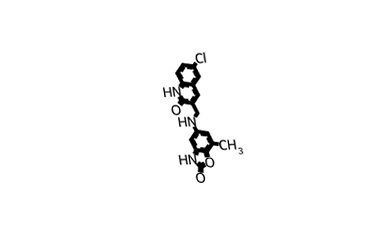 Cc1cc(NCc2cc3cc(Cl)ccc3[nH]c2=O)cc2[nH]c(=O)oc12